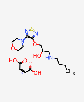 CCCCNCC(O)COc1nsnc1N1CCOCC1.O=C(O)/C=C\C(=O)O